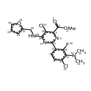 COC(=O)c1nc(-c2ccc(Cl)c(N(C)C)c2F)nc(NCc2ccco2)c1Cl